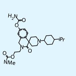 CNC(=O)OCCN1Cc2cc(OC(N)=O)ccc2C2(CCN(C3CCC(C(C)C)CC3)CC2)C1=O